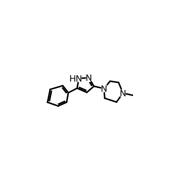 CN1CCN(c2cc(-c3ccccc3)[nH]n2)CC1